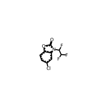 O=c1oc2ccc(Cl)cc2n1C(F)C(F)F